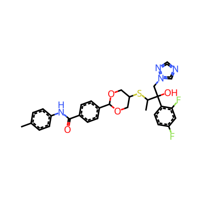 Cc1ccc(NC(=O)c2ccc(C3OCC(SC(C)C(O)(Cn4cncn4)c4ccc(F)cc4F)CO3)cc2)cc1